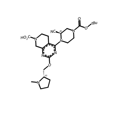 CN1CCC[C@H]1COc1nc2c(c(N3CCN(C(=O)OC(C)(C)C)C[C@@H]3C#N)n1)CCN(C(=O)O)C2